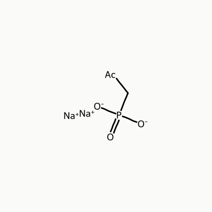 CC(=O)CP(=O)([O-])[O-].[Na+].[Na+]